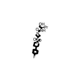 CC(C)[C@H](CO)NC(=O)N1CC(S(=O)(=O)N2CCC(c3ccc(F)cc3)CC2)C1